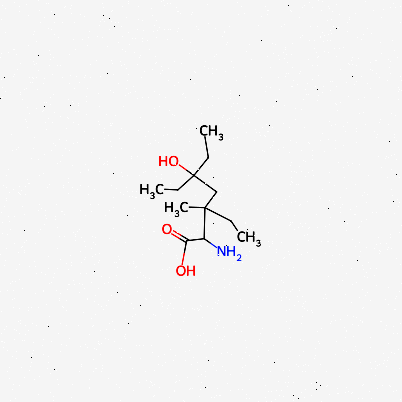 CCC(O)(CC)CC(C)(CC)C(N)C(=O)O